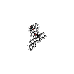 c1ccc(-c2ccc(-n3c4ccc5c6ccccc6oc5c4c4ccc5c6ccccc6n(-c6ccc7c(c6)-c6cccc8cccc-7c68)c5c43)cc2)cc1